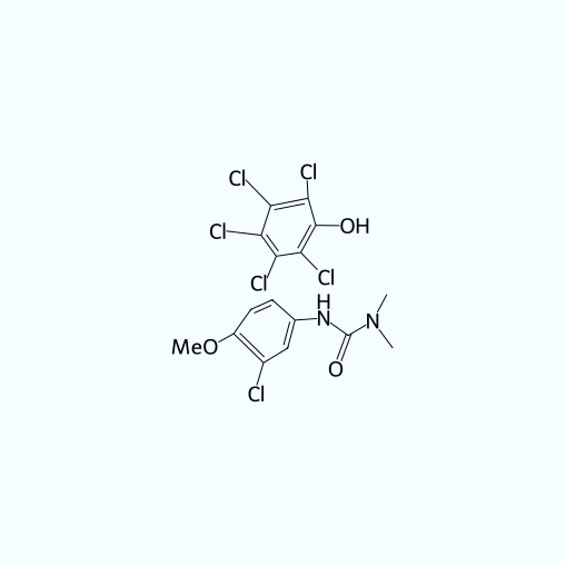 COc1ccc(NC(=O)N(C)C)cc1Cl.Oc1c(Cl)c(Cl)c(Cl)c(Cl)c1Cl